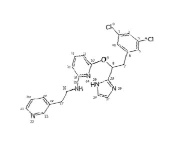 Clc1cc(Cl)cc(CC(Oc2cccc(NCCc3cccnc3)n2)c2ncc[nH]2)c1